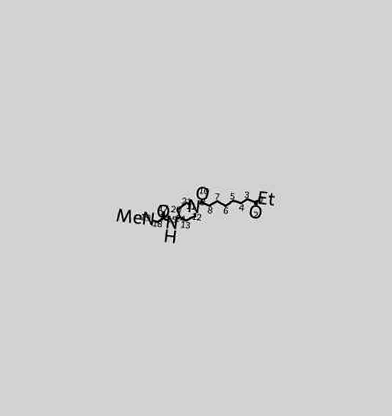 CCC(=O)CCCCCCC(=O)N1CCC(NC(=O)CNC)CC1